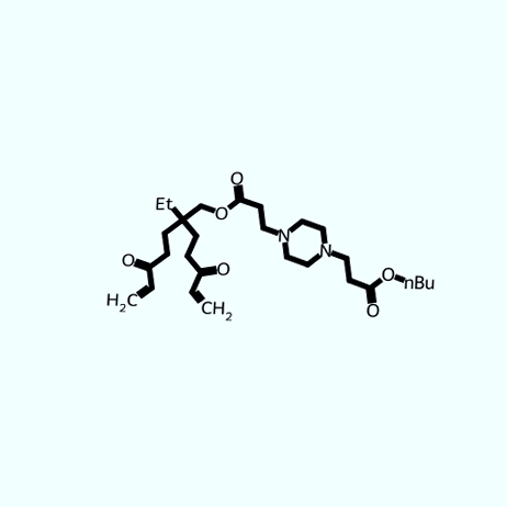 C=CC(=O)CCC(CC)(CCC(=O)C=C)COC(=O)CCN1CCN(CCC(=O)OCCCC)CC1